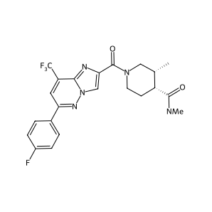 CNC(=O)[C@@H]1CCN(C(=O)c2cn3nc(-c4ccc(F)cc4)cc(C(F)(F)F)c3n2)C[C@@H]1C